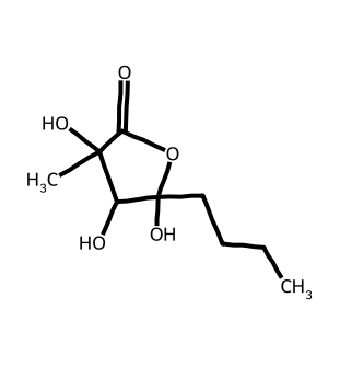 CCCCC1(O)OC(=O)C(C)(O)C1O